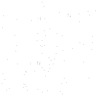 CCCn1nc(-c2ccccc2)nc1Cc1ccc(-c2ccncc2C(=O)O)cc1